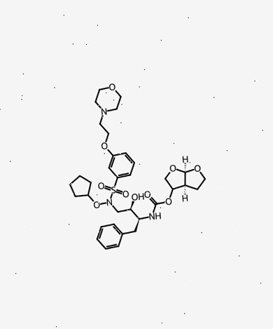 O=C(N[C@@H](Cc1ccccc1)[C@H](O)CN(OC1CCCC1)S(=O)(=O)c1cccc(OCCN2CCOCC2)c1)OC1CO[C@H]2OCC[C@@H]12